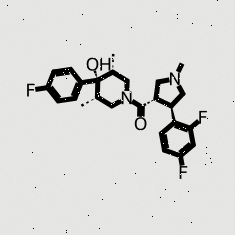 C[C@@H]1CN(C(=O)[C@@H]2CN(C)C[C@H]2c2ccc(F)cc2F)C[C@H](C)[C@@]1(O)c1ccc(F)cc1